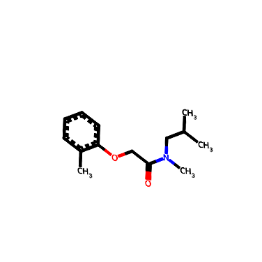 Cc1ccccc1OCC(=O)N(C)CC(C)C